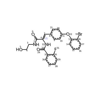 O=C(NCCO)/C(=C/c1ccc(Oc2ccccc2Br)cc1)NC(=O)c1ccccc1F